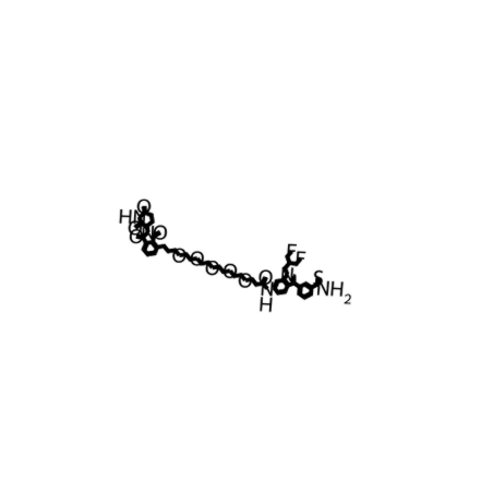 NC(=S)c1cccc(-c2cn(CC(CF)CF)c3cc(NC(=O)CCOCCOCCOCCOCCOCCCc4cccc5c4C(=O)N(C4CCC(=O)NC4=O)C5=O)ccc23)c1